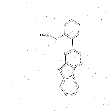 O=C(O)Nc1ccccc1-c1ccn2c(n1)nc1ccccc12